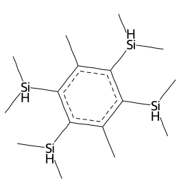 Cc1c([SiH](C)C)c([SiH](C)C)c(C)c([SiH](C)C)c1[SiH](C)C